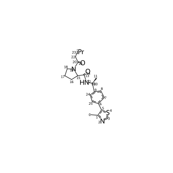 Cc1ncsc1-c1ccc([C@H](C)NC(=O)C2CCCN2C(=O)CC(C)C)cc1